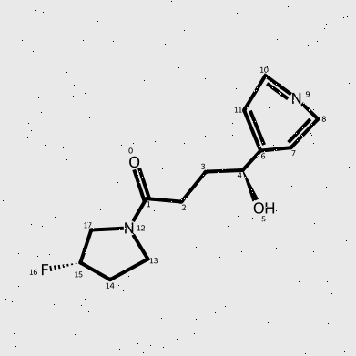 O=C(CC[C@H](O)c1ccncc1)N1CC[C@H](F)C1